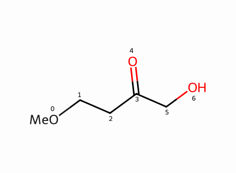 COCCC(=O)CO